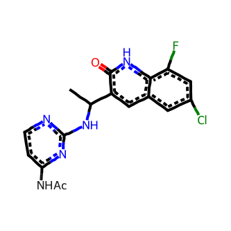 CC(=O)Nc1ccnc(NC(C)c2cc3cc(Cl)cc(F)c3[nH]c2=O)n1